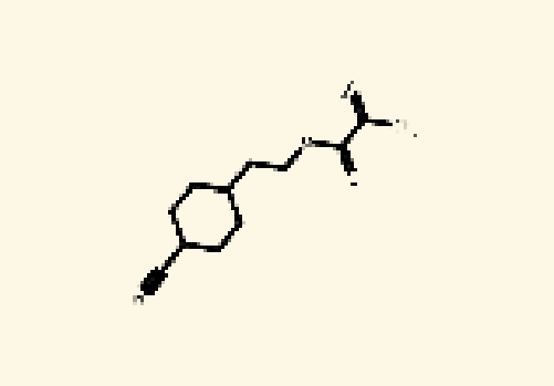 C=C(C)C(=O)OCCC1CCC(C#N)CC1